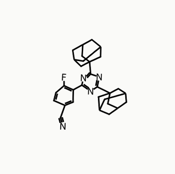 N#Cc1ccc(F)c(-c2nc(C34CC5CC(CC(C5)C3)C4)nc(C34CC5CC(CC(C5)C3)C4)n2)c1